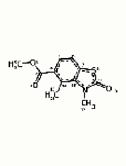 COC(=O)c1ccc2sc(=O)n(C)c2c1C